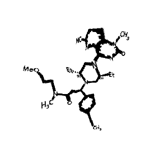 CC[C@H]1CN(C(CC(=O)N(C)CCOC)c2ccc(C)cc2)[C@H](CC)CN1c1nc(=O)n(C)c2ccc(C#N)nc12